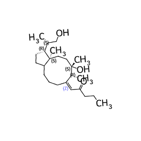 CCCC(=O)/C=C1/CCCC2CC[C@H]([C@H](C)CO)[C@@]2(C)CC[C@](C)(O)[C@@H]1C